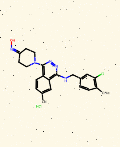 COc1ccc(CNc2nnc(N3CCC(=NO)CC3)c3ccc(C#N)cc23)cc1Cl.Cl